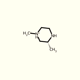 [CH2-][NH+]1CCN[C@H](C)C1